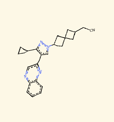 N#CCC1CC2(C1)CC(n1cc(-c3cnc4ccccc4n3)c(C3CC3)n1)C2